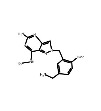 CCCCNc1nc(N)nc2cn(Cc3cc(CN)ccc3OC)nc12